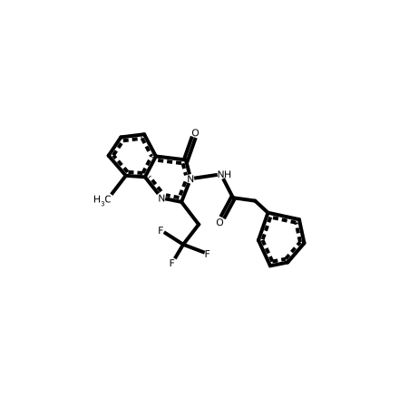 Cc1cccc2c(=O)n(NC(=O)Cc3ccccc3)c(CC(F)(F)F)nc12